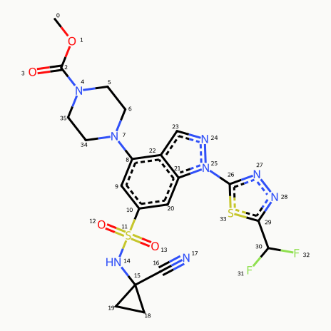 COC(=O)N1CCN(c2cc(S(=O)(=O)NC3(C#N)CC3)cc3c2cnn3-c2nnc(C(F)F)s2)CC1